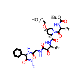 CCCC(NC(=O)[C@@H]1C[C@@H](OCC(=O)O)CN1C(=O)C(NC(=O)OCC(C)C)C(C)C)C(=O)C(=O)NCC(=O)NC(C(N)=O)c1ccccc1